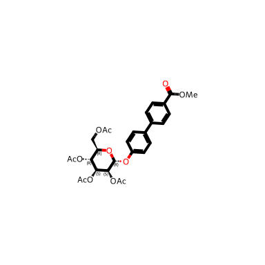 COC(=O)c1ccc(-c2ccc(O[C@H]3O[C@H](COC(C)=O)[C@@H](OC(C)=O)[C@H](OC(C)=O)[C@@H]3OC(C)=O)cc2)cc1